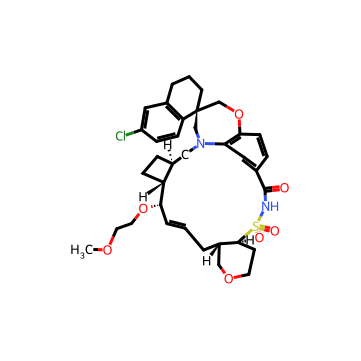 COCCO[C@H]1/C=C/C[C@H]2COCC[C@@H]2S(=O)(=O)NC(=O)c2ccc3c(c2)N(C[C@@H]2CC[C@H]21)C[C@@]1(CCCc2cc(Cl)ccc21)CO3